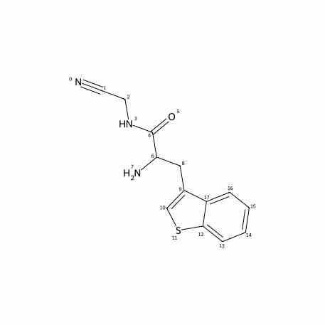 N#CCNC(=O)C(N)Cc1csc2ccccc12